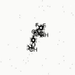 CC(C)C(C)(O)COc1ccc(CNC(=O)N(Cc2ccc(F)cc2F)C2CCNCC2)cc1